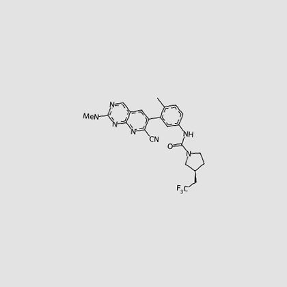 CNc1ncc2cc(-c3cc(NC(=O)N4CC[C@@H](CC(F)(F)F)C4)ccc3C)c(C#N)nc2n1